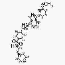 COc1cccc(-n2ncc3c(N/N=C/c4ccc(S(=O)(=O)NCCN5CCOCC5)cc4)ncnc32)n1